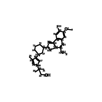 COc1cc2nc(N)n3nc(C4CCCN(c5cn(C(C)(C)CO)nc5C)C4)nc3c2cc1F